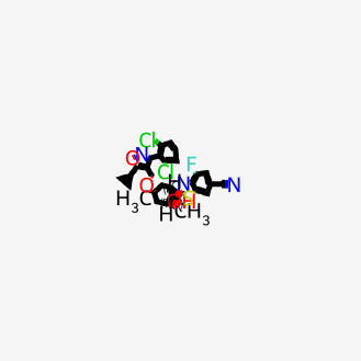 C[C@H]1C[C@@H]2CC(C)(OCc3c(-c4c(Cl)cccc4Cl)noc3C3CC3)C[C@H]1[C@]2(O)c1nc2c(F)cc(C#N)cc2s1